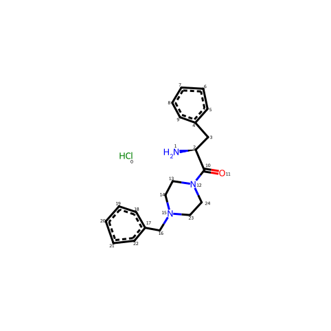 Cl.N[C@@H](Cc1ccccc1)C(=O)N1CCN(Cc2ccccc2)CC1